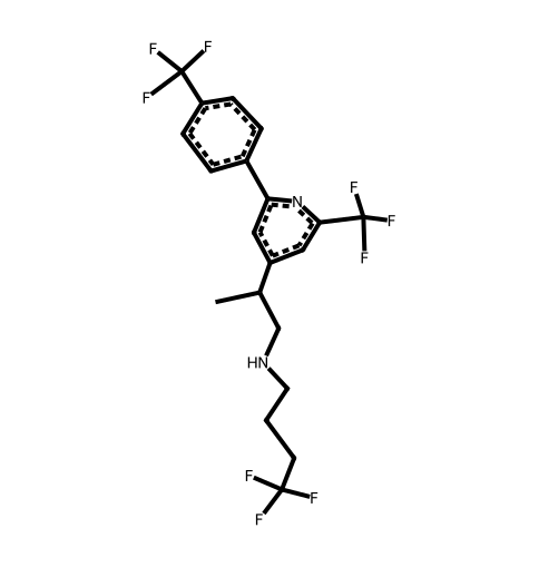 CC(CNCCCC(F)(F)F)c1cc(-c2ccc(C(F)(F)F)cc2)nc(C(F)(F)F)c1